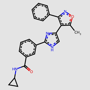 Cc1onc(-c2ccccc2)c1-c1c[nH]c(-c2cccc(C(=O)NC3CC3)c2)n1